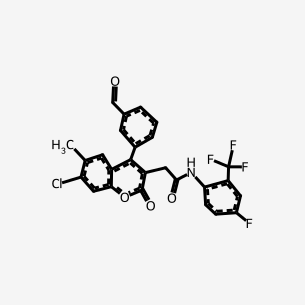 Cc1cc2c(-c3cccc(C=O)c3)c(CC(=O)Nc3ccc(F)cc3C(F)(F)F)c(=O)oc2cc1Cl